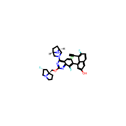 C#Cc1c(F)ccc2cc(O)cc(-c3c(Cl)cc4c(N5C[C@H]6CC[C@@H](C5)N6)nc(OC[C@@]56CCCN5C[C@H](F)C6)nc4c3F)c12